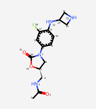 CC(=O)NC[C@H]1CN(c2ccc(NC3CNC3)c(F)c2)C(=O)O1